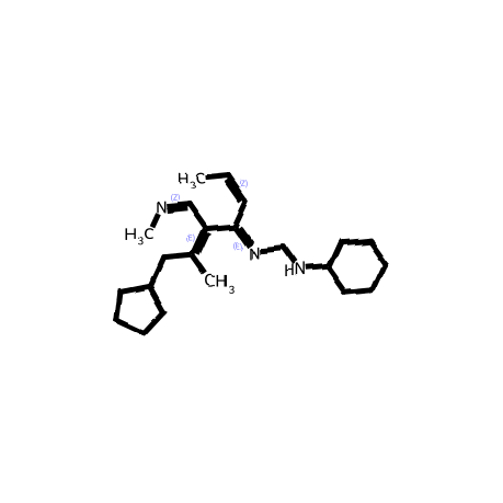 C\C=C/C(=N\CNC1CCCCC1)C(/C=N\C)=C(\C)CC1CCCC1